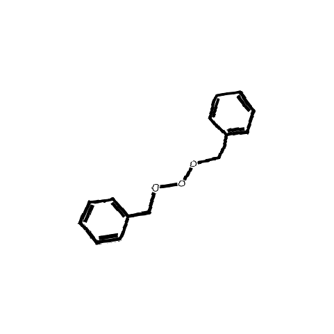 c1ccc(COOOCc2ccccc2)cc1